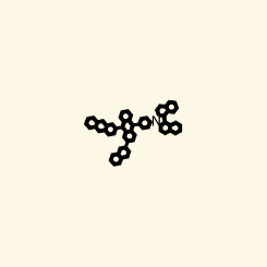 c1ccc2cc(-c3ccc4c(-c5ccc(-n6c7ccc8ccccc8c7c7c8ccccc8ccc76)cc5)c5ccccc5c(-c5ccc6cc7ccccc7cc6c5)c4c3)ccc2c1